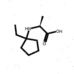 CCC1(N[C@@H](C)C(=O)O)CCCC1